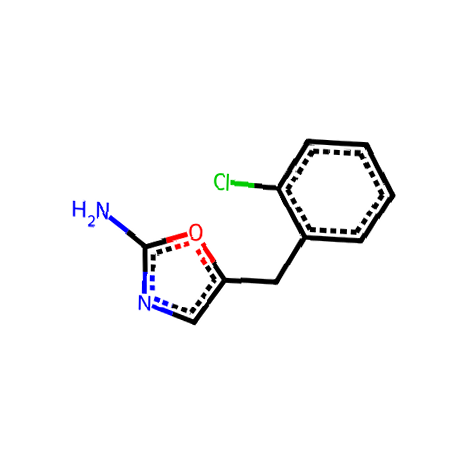 Nc1ncc(Cc2ccccc2Cl)o1